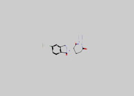 O=C1CC[C@H](N2Cc3cc(Br)ccc3C2=O)C(=O)N1